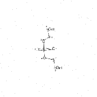 CCCCCCCCSOS(=O)(=O)OSCCCCCCCC